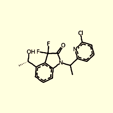 CC(c1cccc(Cl)n1)N1C(=O)C(F)(F)c2c([C@H](C)O)cccc21